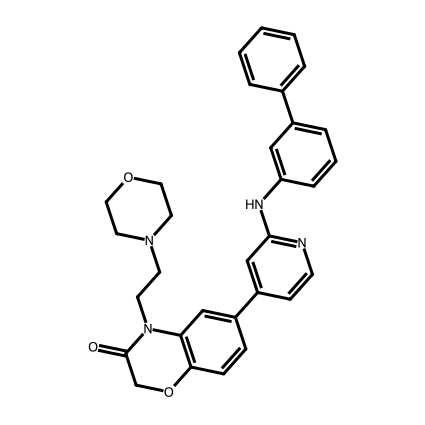 O=C1COc2ccc(-c3ccnc(Nc4cccc(-c5ccccc5)c4)c3)cc2N1CCN1CCOCC1